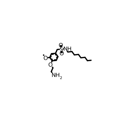 CCCCCCCCNS(=O)(=O)Cc1ccc(OCCN)c(OC)c1